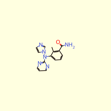 Cc1c(C(N)=O)cccc1N(c1ncccn1)n1ccnc1